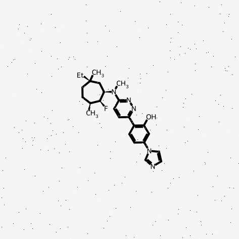 CC[C@]1(C)CC[C@H](C)[C@H](F)[C@H](N(C)c2ccc(-c3ccc(-n4ccnc4)cc3O)nn2)C1